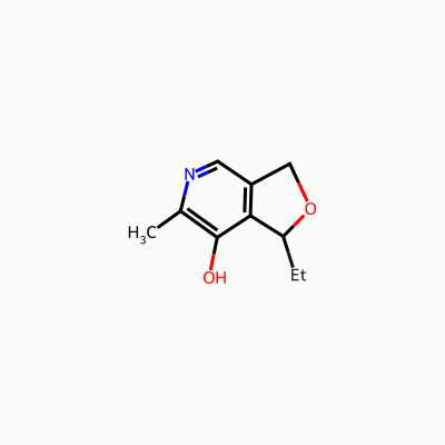 CCC1OCc2cnc(C)c(O)c21